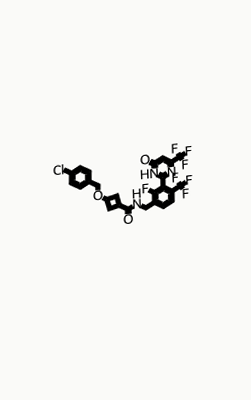 O=C(NCc1ccc(C(F)(F)F)c(-c2nc(C(F)(F)F)cc(=O)[nH]2)c1F)C1CC(OCc2ccc(Cl)cc2)C1